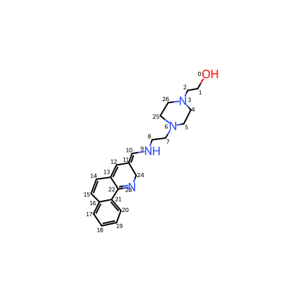 OCCN1CCN(CCNC=C2C=c3ccc4ccccc4c3=NC2)CC1